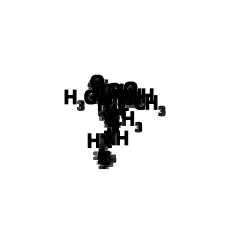 CCN(CCNNCCC12CC3CC(CC1C3)C2)Cc1ccc(-c2cc(C(=O)NCc3c(C)cc(C)[nH]c3=O)c(C)c(N(CC)C3CCOCC3)c2)cc1